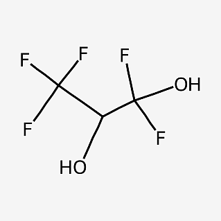 OC(C(O)(F)F)C(F)(F)F